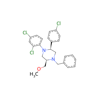 COC[C@H]1CN(c2ccc(Cl)cc2Cl)[C@@H](c2ccc(Cl)cc2)CN1Cc1ccccc1